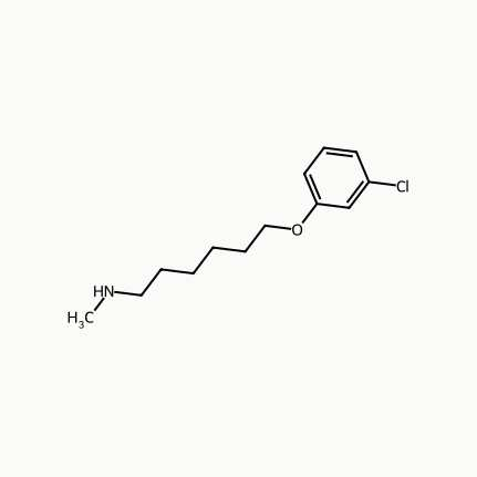 CNCCCCCCOc1cccc(Cl)c1